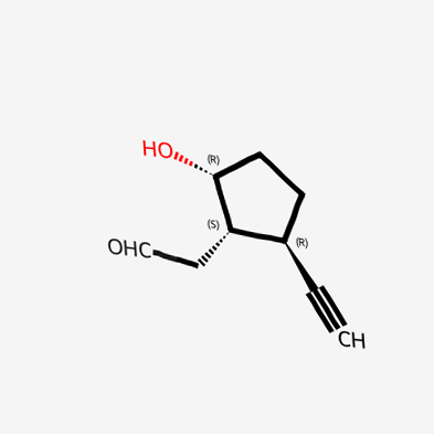 C#C[C@@H]1CC[C@@H](O)[C@H]1CC=O